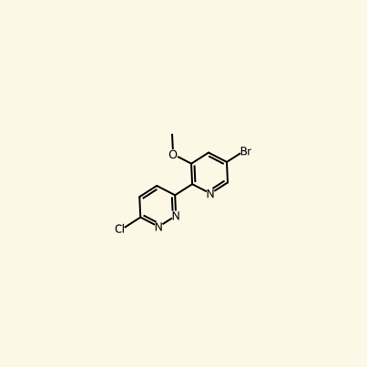 COc1cc(Br)cnc1-c1ccc(Cl)nn1